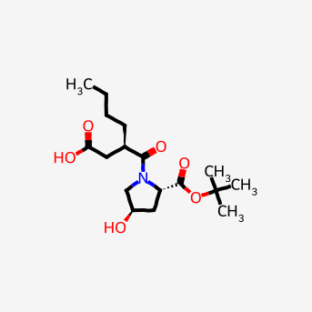 CCCC[C@H](CC(=O)O)C(=O)N1C[C@H](O)C[C@H]1C(=O)OC(C)(C)C